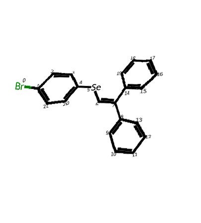 Brc1ccc([Se]C=C(c2ccccc2)c2ccccc2)cc1